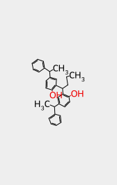 CCCC(c1cc(C(C)c2ccccc2)ccc1O)c1cc(C(C)c2ccccc2)ccc1O